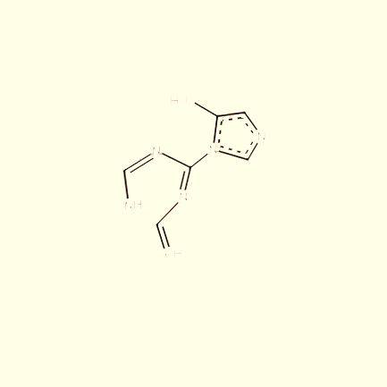 C=C/N=C(\N=C/N)n1cncc1C